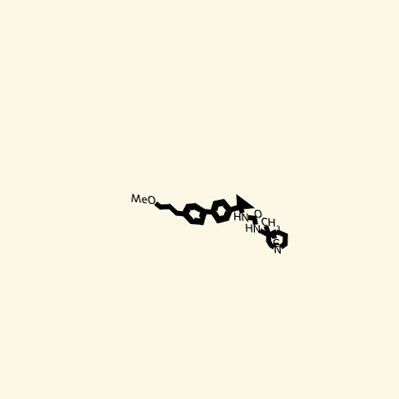 COCCCc1ccc(-c2ccc(C3(NC(=O)NC4(C)CCN5CCC4CC5)CC3)cc2)cc1